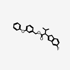 CC(C)C(C(=O)OCc1cccc(Oc2ccccc2)c1)C1=Cc2cc(F)ccc2C1